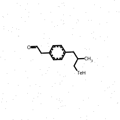 CC(C[TeH])Cc1ccc(CC=O)cc1